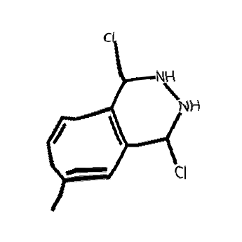 Cc1ccc2c(c1)C(Cl)NNC2Cl